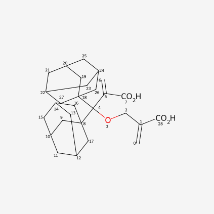 C=C(COC(C(=C)C(=O)O)(C12CC3CC(CC(C3)C1)C2)C12CC3CC(CC(C3)C1)C2)C(=O)O